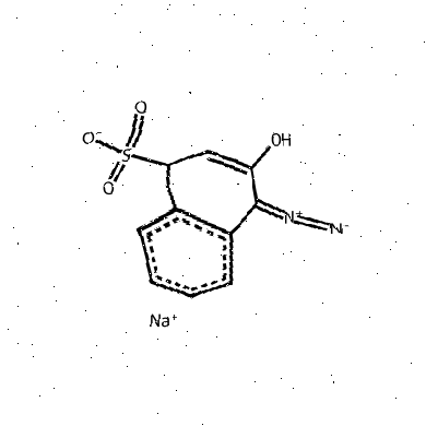 [N-]=[N+]=C1C(O)=CC(S(=O)(=O)[O-])c2ccccc21.[Na+]